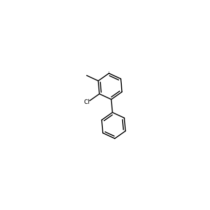 Cc1[c]ccc(-c2ccccc2)c1Cl